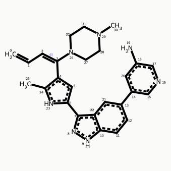 C=C/C=C(\c1cc(-c2n[nH]c3ccc(-c4cncc(N)c4)cc23)[nH]c1C)N1CCN(C)CC1